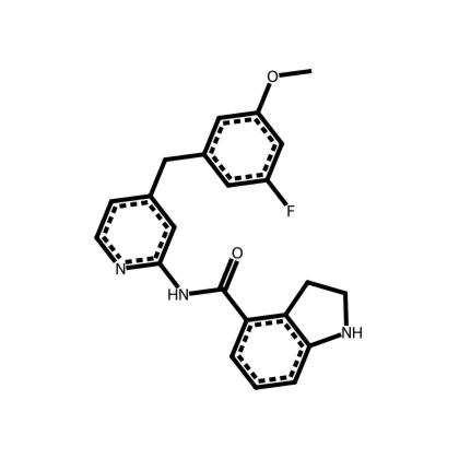 COc1cc(F)cc(Cc2ccnc(NC(=O)c3cccc4c3CCN4)c2)c1